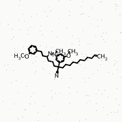 C=CCCCCCCCCCC(C#N)(CCCC(CCc1cccc(OC)c1)/N=N/C)c1cccc(OC)c1